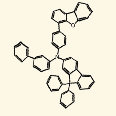 c1ccc(-c2cccc(N(c3ccc(-c4cccc5c4oc4ccccc45)cc3)c3ccc4c(c3)C(c3ccccc3)(c3ccccc3)c3ccccc3-4)c2)cc1